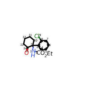 CCOC(=O)NC1(c2ccccc2Cl)CCCCC1=O